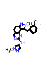 Cc1cccc(Cc2c3c(nn2C)CCc2cnc(Nc4cnn(C)c4)nc2-3)c1